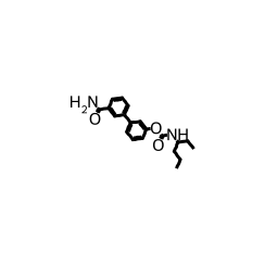 CCCC(CC)NC(=O)Oc1cccc(-c2cccc(C(N)=O)c2)c1